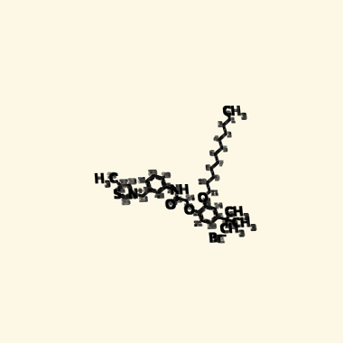 CCCCCCCCCCCCOc1cc(C(C)(C)C)ccc1OCC(=O)Nc1cccc(C[n+]2csc(C)c2)c1.[Br-]